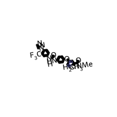 C=C(/C=C(\C=C/C)Oc1ccc(NC(=O)Nc2ccc(-n3ccnn3)c(C(F)(F)F)c2)cc1)C(=O)NC